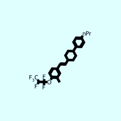 CCCc1ccc(C2CCC(/C=C/c3ccc(OC(F)(F)C(F)C(F)(F)F)c(C)c3)CC2)cc1